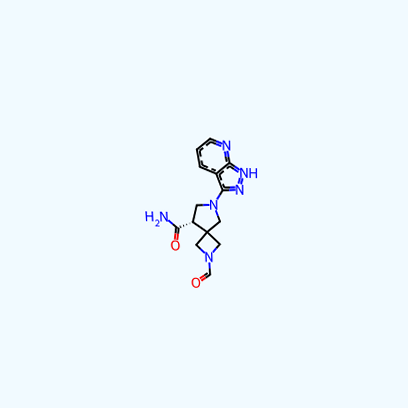 NC(=O)[C@@H]1CN(c2n[nH]c3ncccc23)CC12CN(C=O)C2